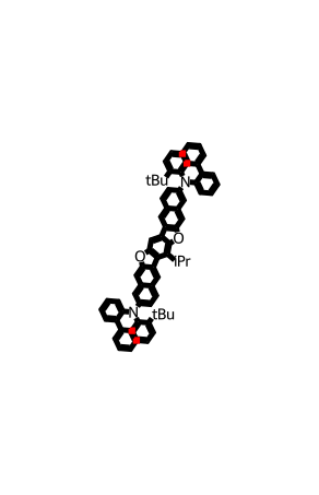 CC(C)c1c2oc3cc4cc(N(c5ccccc5-c5ccccc5)c5ccccc5C(C)(C)C)ccc4cc3c2cc2oc3cc4cc(N(c5ccccc5-c5ccccc5)c5ccccc5C(C)(C)C)ccc4cc3c12